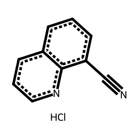 Cl.N#Cc1cccc2cccnc12